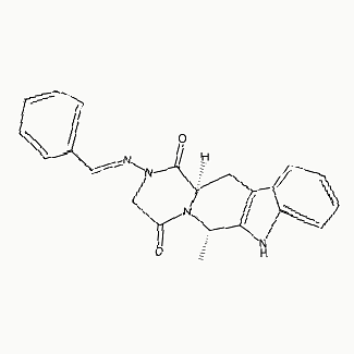 C[C@H]1c2[nH]c3ccccc3c2C[C@@H]2C(=O)N(/N=C/c3ccccc3)CC(=O)N21